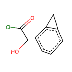 O=C(Cl)CO.c1ccc2c(c1)C2